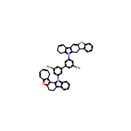 N#Cc1cc(-c2cc(C#N)cc(-n3c4c(c5ccccc53)CCc3oc5c(c3-4)CC=CC=C5)c2)cc(-n2c3c(c4c2CC2C(=C4)Sc4ccccc42)C=CCC3)c1